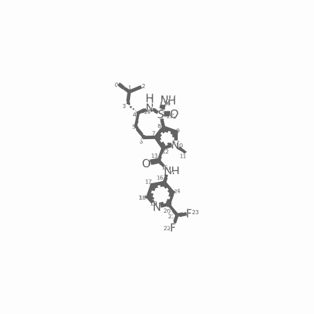 CC(C)C[C@H]1CCc2c(cn(C)c2C(=O)Nc2ccnc(C(F)F)c2)S(=N)(=O)N1